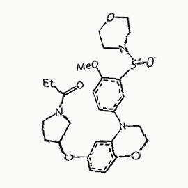 CCC(=O)N1CCC(Oc2ccc3c(c2)N(c2ccc(OC)c([S+]([O-])N4CCOCC4)c2)CCO3)C1